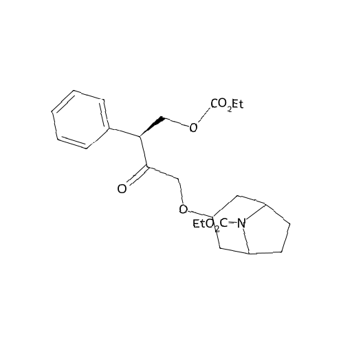 CCOC(=O)OC[C@@H](C(=O)COC1CC2CCC(C1)N2C(=O)OCC)c1ccccc1